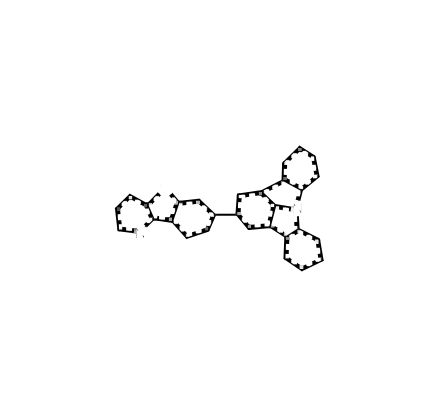 c1cnc2c(c1)oc1cc(-c3cc4c5ccccc5n5c6ccccc6c(c3)c45)ccc12